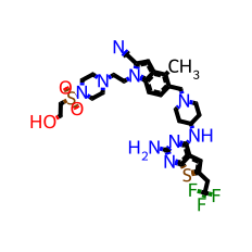 Cc1c(CN2CCC(Nc3nc(N)nc4sc(CC(F)(F)F)cc34)CC2)ccc2c1cc(C#N)n2CCN1CCN(S(=O)(=O)CCO)CC1